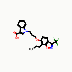 CCCc1c(OCCCn2cc(C(=O)O)c3ccccc32)ccc2c(C(F)(F)F)noc12